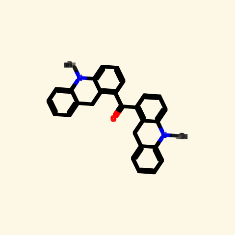 CCCCN1c2ccccc2Cc2c(C(=O)c3cccc4c3Cc3ccccc3N4CCCC)cccc21